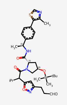 Cc1ncsc1-c1ccc([C@H](C)NC(=O)[C@@H]2C[C@@H](O[Si](C)(C)C(C)(C)C)CN2C(=O)C(c2cc(CCC=O)no2)C(C)C)cc1